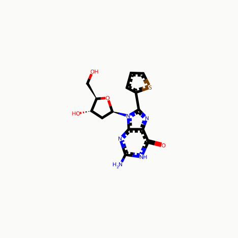 Nc1nc2c(nc(-c3cccs3)n2[C@H]2C[C@H](O)[C@@H](CO)O2)c(=O)[nH]1